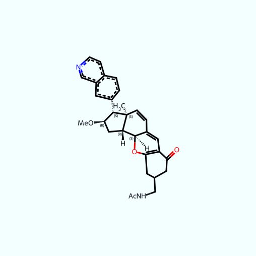 CO[C@@H]1C[C@H]2[C@@H]3OC4=C(C=C3C=C[C@]2(C)[C@H]1c1ccc2ccncc2c1)C(=O)CC(CNC(C)=O)C4